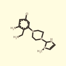 CN1C=CNC1N1CCN(c2cc(Cl)cc(N)c2CN)CC1